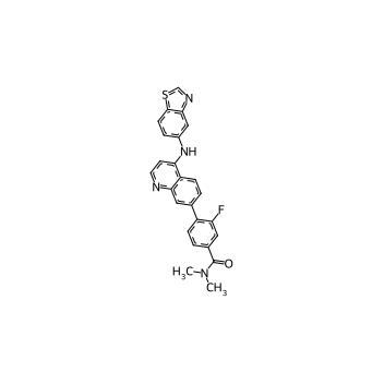 CN(C)C(=O)c1ccc(-c2ccc3c(Nc4ccc5scnc5c4)ccnc3c2)c(F)c1